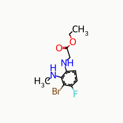 CCOC(=O)CNc1ccc(F)c(Br)c1NC